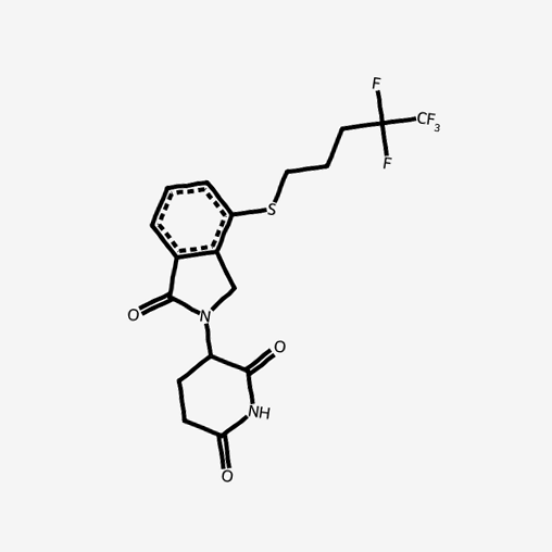 O=C1CCC(N2Cc3c(SCCCC(F)(F)C(F)(F)F)cccc3C2=O)C(=O)N1